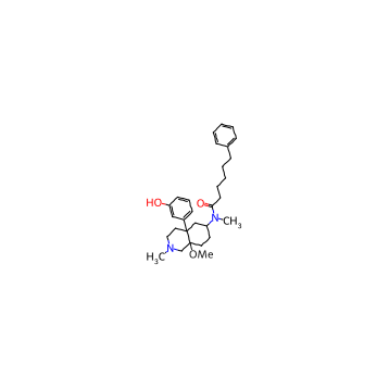 COC12CCC(N(C)C(=O)CCCCCc3ccccc3)CC1(c1cccc(O)c1)CCN(C)C2